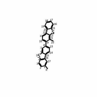 Cc1ccc2sc3cc(-c4ccc5c(sc6ccccc65)c4C)ccc3c2c1